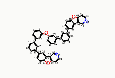 c1cc(Oc2cccc(-c3cccc(-c4ccc5oc6ccncc6c5c4)c3)c2)cc(-c2cccc(-c3ccc4oc5ccncc5c4c3)c2)c1